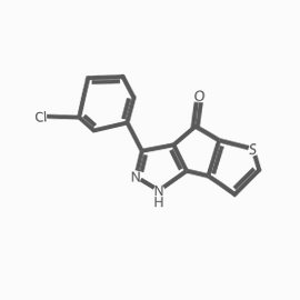 O=C1c2sccc2-c2[nH]nc(-c3cccc(Cl)c3)c21